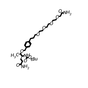 C[C@@H](OCc1ccc(CCCOCCOCCOCCOCC(N)=O)cc1)[C@H](CCC(N)=O)NC(=O)OC(C)(C)C